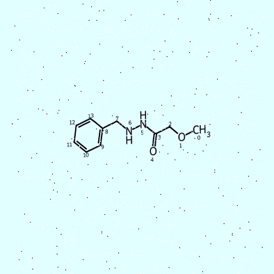 COCC(=O)NNCc1ccccc1